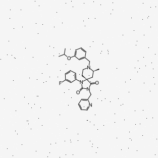 CC(C)Oc1cccc(CN2CC[C@@]3(C[C@@H]2C)C(=O)N(Cc2ccccn2)C(=O)N3c2cccc(F)c2)c1